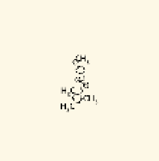 COc1ccc(CS(=O)(=O)/C=C/c2c(C)cc(C)cc2C)cc1